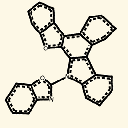 c1ccc2oc(-n3c4ccccc4c4c5ccccc5c5c6ccccc6oc5c43)nc2c1